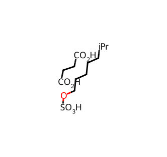 CC(C)CCCCCOS(=O)(=O)O.O=C(O)CCC(=O)O